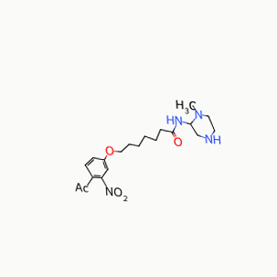 CC(=O)c1ccc(OCCCCCCC(=O)NC2CNCCN2C)cc1[N+](=O)[O-]